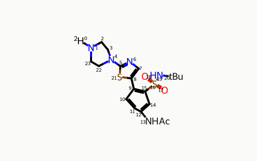 [2H]N1CCN(c2ncc(-c3ccc(NC(C)=O)cc3S(=O)(=O)NC(C)(C)C)s2)CC1